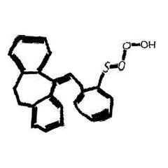 OOOSc1ccccc1C=C1c2ccccc2CCc2ccccc21